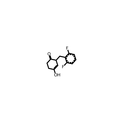 O=C1CCC(O)=CC1Cc1c(F)cccc1F